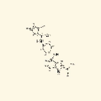 Cc1cn(C)cc1C(=O)N[C@H]1CC[C@@H](Nc2cccc3nc(C(F)F)cn23)CC1